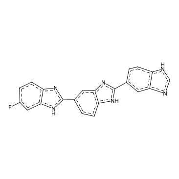 Fc1ccc2nc(-c3ccc4[nH]c(-c5ccc6[nH]cnc6c5)nc4c3)[nH]c2c1